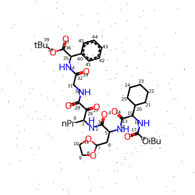 CCCC(NC(=O)C(CC1OCCO1)NC(=O)C(NC(=O)OCC(C)C)C1CCCCC1)C(=O)C(=O)NCC(=O)NC(C(=O)OC(C)(C)C)c1ccccc1